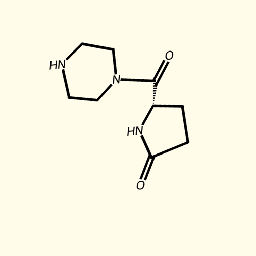 O=C1CC[C@@H](C(=O)N2CCNCC2)N1